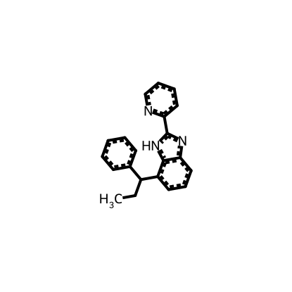 CCC(c1ccccc1)c1cccc2nc(-c3ccccn3)[nH]c12